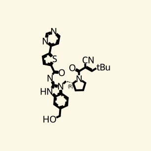 CC(C)(C)C=C(C#N)C(=O)N1CCC[C@@H]1Cn1c(=NC(=O)c2ccc(-c3ccncn3)s2)[nH]c2cc(CO)ccc21